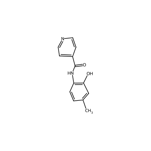 Cc1ccc(NC(=O)c2ccncc2)c(O)c1